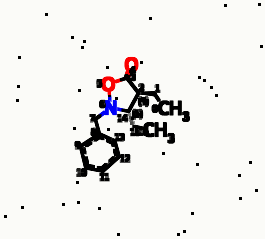 CC[C@@H]1C(=O)ON(Cc2ccccc2)[C@H]1CC